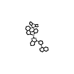 c1cc(-c2cccc3ccccc23)cc(-c2nc(-n3c4cccc5c4c4c6c(cccc6ccc43)C53c4ccccc4-c4ccccc43)nc3ccccc23)c1